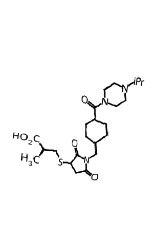 CC(CSC1CC(=O)N(CC2CCC(C(=O)N3CCN(C(C)C)CC3)CC2)C1=O)C(=O)O